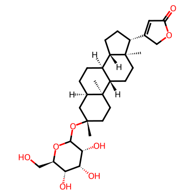 C[C@]1(OC2O[C@H](CO)[C@@H](O)[C@@H](O)[C@H]2O)CC[C@@]2(C)[C@H](CC[C@@H]3[C@@H]2CC[C@]2(C)[C@@H](C4=CC(=O)OC4)CC[C@@H]32)C1